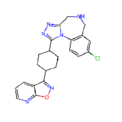 Clc1ccc2c(c1)CNCc1nnc(C3CCC(c4noc5ncccc45)CC3)n1-2